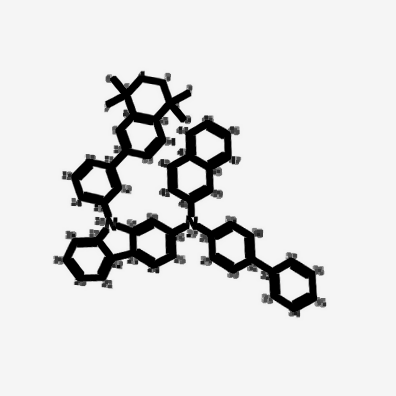 CC1(C)CCC(C)(C)c2cc(-c3cccc(-n4c5ccccc5c5ccc(N(c6ccc(-c7ccccc7)cc6)c6ccc7ccccc7c6)cc54)c3)ccc21